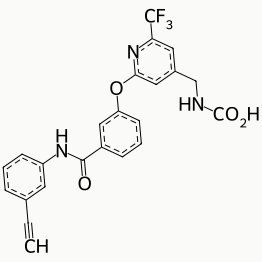 C#Cc1cccc(NC(=O)c2cccc(Oc3cc(CNC(=O)O)cc(C(F)(F)F)n3)c2)c1